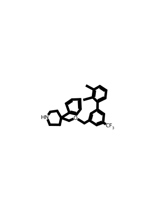 Cc1cccc(-c2cc(COCC3(c4ccccc4)CCNCC3)cc(C(F)(F)F)c2)c1C